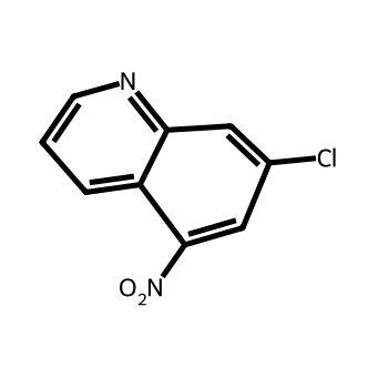 O=[N+]([O-])c1cc(Cl)cc2ncccc12